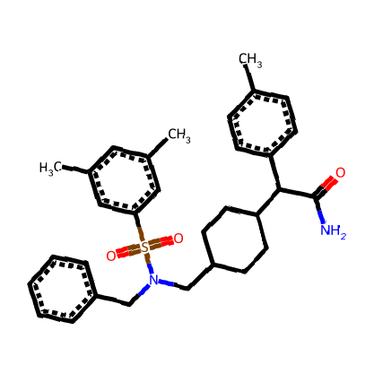 Cc1ccc(C(C(N)=O)C2CCC(CN(Cc3ccccc3)S(=O)(=O)c3cc(C)cc(C)c3)CC2)cc1